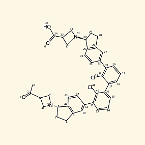 CC(=O)C1CN([C@H]2CCc3cc(-c4cccc(-c5cccc(-c6ccc7c(c6)CC[C@@H]7N6CC(C(=O)O)C6)c5Cl)c4Cl)ccc32)C1